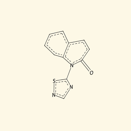 O=c1ccc2ccccc2n1-c1ncns1